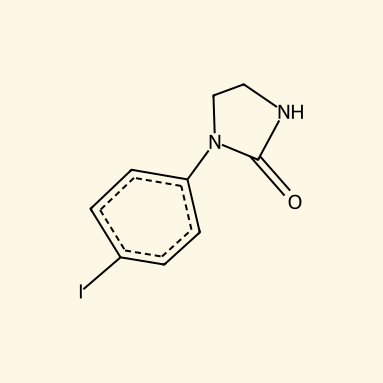 O=C1NCCN1c1ccc(I)cc1